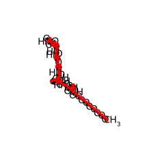 COCCOCCOCCOCCOCCOCCOCCOCCC(=O)NC[C@@H](C(=O)NCC(=O)NCC(=O)N[C@@H](Cc1ccccc1)C(=O)NCC(=O)NCc1ccc(COc2ccc(NC(=O)NCc3ccc4c(c3)CN(C3CCC(=O)NC3=O)C4=O)cc2)cc1)N1C(=O)C=CC1=O